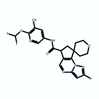 N#Cc1cc(NC(=O)C2CC3(CCOCC3)c3c2cnc2cc(F)nn32)cnc1OC(F)F